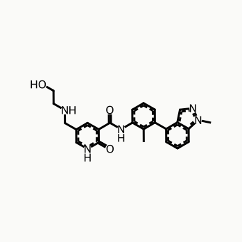 Cc1c(NC(=O)c2cc(CNCCO)c[nH]c2=O)cccc1-c1cccc2c1cnn2C